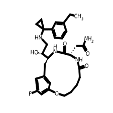 CCc1cccc(C2(NC[C@@H](O)[C@@H]3Cc4cc(F)cc(c4)OCCCCC(=O)N[C@@H](CC(N)=O)C(=O)N3)CC2)c1